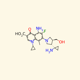 Cc1c(N2C[C@@H](CO)[C@H](C3(N)CC3)C2)c(F)c(N)c2c(=O)c(C(=O)O)cn(C3CC3)c12